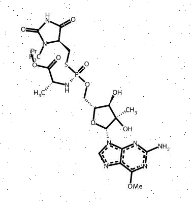 COc1nc(N)nc2c1ncn2[C@@H]1O[C@H](CO[P@@](=O)(N[C@H](C)C(=O)OC(C)C)SC[C@@H]2C(=O)NC(=O)N2C)[C@@H](O)[C@@]1(C)O